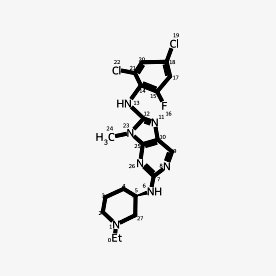 CCN1CCC[C@@H](Nc2ncc3nc(Nc4c(F)cc(Cl)cc4Cl)n(C)c3n2)C1